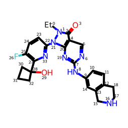 CCn1c(=O)c2cnc(Nc3ccc4c(c3)CNCC4)nc2n1-c1ccc(F)c(C2(O)CCC2)n1